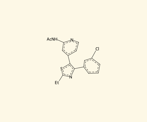 CCc1nc(-c2cccc(Cl)c2)c(-c2ccnc(NC(C)=O)c2)s1